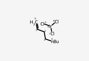 C=CCCCCCC.[Cl][Ir]([Cl])[Cl]